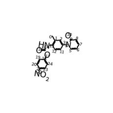 Cc1cc(-n2ccccc2=O)ccc1NC(=O)Oc1ccc([N+](=O)[O-])cc1